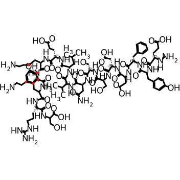 CC(C)CC(NC(=O)[C@@H](NC(=O)C(CC(N)=O)NC(=O)[C@H](CO)NC(=O)C(CO)NC(=O)[C@H](CC(=O)O)NC(=O)C(CC(=O)O)NC(=O)[C@H](Cc1ccccc1)NC(=O)C(Cc1ccc(O)cc1)NC(=O)[C@H](CCC(=O)O)NN)C(C)C)C(=O)N[C@@H](CCC(=O)O)C(=O)NC(CCCCN)C(=O)N[C@@H](CCCCN)C(=O)NC(Cc1ccc(O)cc1)C(=O)N[C@@H](CCCNC(=N)N)C(=O)NC(CO)C(=O)O